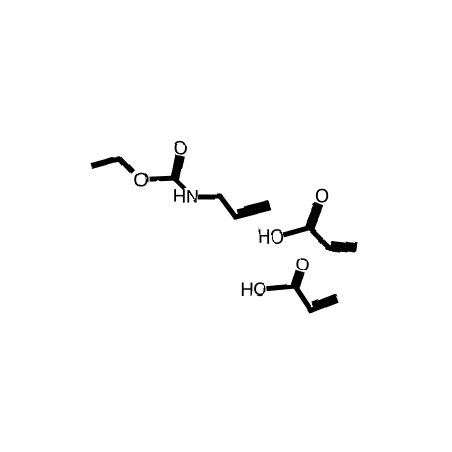 C=CC(=O)O.C=CC(=O)O.C=CCNC(=O)OCC